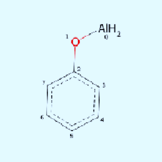 [AlH2][O]c1ccccc1